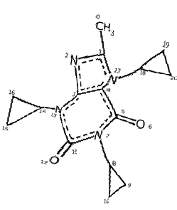 Cc1nc2c(c(=O)n(C3CC3)c(=O)n2C2CC2)n1C1CC1